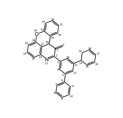 C=C1C(c2cc(-c3ccccc3)cc(C3C=CC=CC3)c2)=Nc2cccc3c2C1c1ccccc1O3